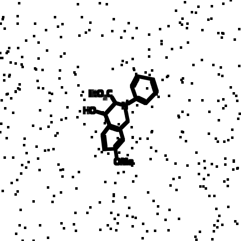 CCOC(=O)C1C(O)c2ccc(OC)cc2CN1c1ccccc1